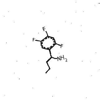 CCCC(N)c1cc(F)c(F)cc1F